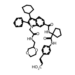 O=C(O)C=Cc1ccc(NC(=O)C2(NC(=O)c3ccc4c(C5CCCCC5)c(-c5ccccc5)n(CC(=O)NCC5COCCO5)c4c3)CCCC2)cc1